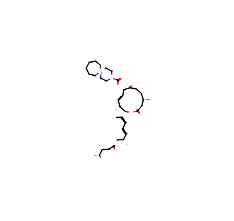 CC[C@H](O)[C@@H](C)[C@H]1O[C@@H]1C[C@H](C)/C=C/C=C(\C)[C@H]1OC(=O)C[C@H](C)CC[C@@](C)(O)[C@@H](OC(=O)N2CC[N+]3(CCCCCC3)CC2)/C=C/[C@@H]1C